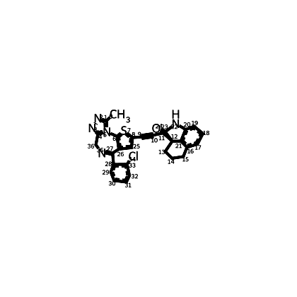 Cc1nnc2n1-c1sc(C#CCC34CCCc5cccc(c53)NC4=O)cc1C(c1ccccc1Cl)=NC2